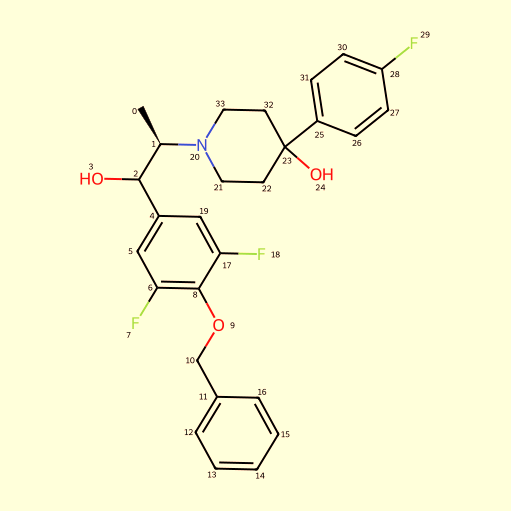 C[C@H](C(O)c1cc(F)c(OCc2ccccc2)c(F)c1)N1CCC(O)(c2ccc(F)cc2)CC1